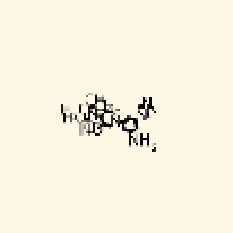 CC(C)(C)N(C(=O)O)[C@H]1CCN(c2cc(N)cc(-n3cnnc3)c2)C[C@H]1O